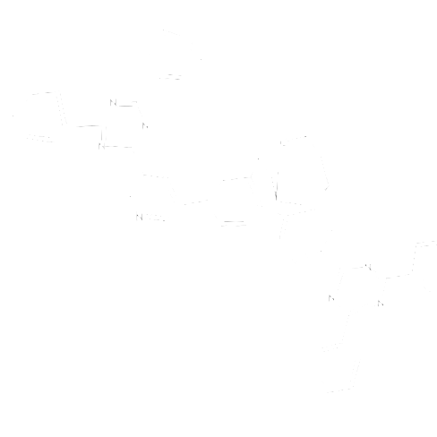 c1ccc(-c2nc(-c3ccccc3)nc(-c3cncc(-c4ccc5c(c4)C4CC6CC(C4)CC(C6)c4cc(-c6nc(-c7ccccc7)nc(-c7ccccc7)n6)ccc4-5)c3)n2)cc1